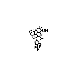 CC(C)c1nc2c(c3c1[C@@H](c1ccc(C(F)(F)F)c(F)c1)OC31CCOCC1)[C@@H](O)CC(C)(C)[C@H]2O